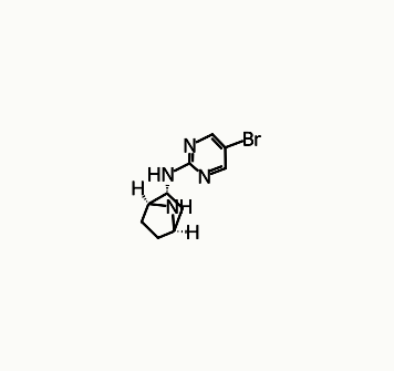 Brc1cnc(N[C@@H]2C[C@H]3CC[C@@H]2N3)nc1